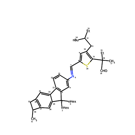 CCCCCCC1(CCCCCC)c2cc(/N=C/c3cc(CC(CC)CCCC)c(C(C)(C=O)CC)s3)ccc2-c2cc3c(cc21)C(C)C3